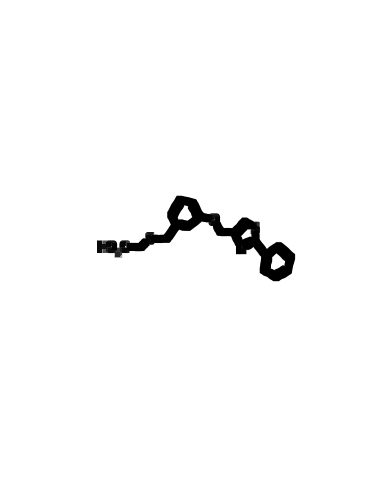 O=C(O)CSCc1cccc(OCc2csc(-c3ccccc3)n2)c1